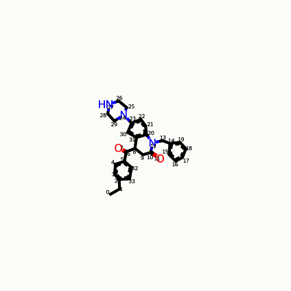 CCc1ccc(C(=O)C2CC(=O)N(Cc3ccccc3)c3ccc(N4CCNCC4)cc32)cc1